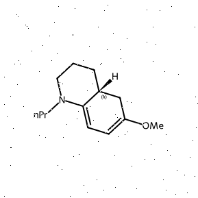 CCCN1CCC[C@@H]2CC(OC)=CC=C21